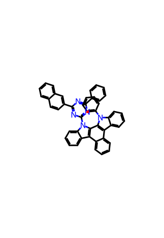 c1ccc(-c2nc(-c3ccc4ccccc4c3)nc(-n3c4ccccc4c4c5ccccc5c5c6ccccc6n(-c6ccccc6)c5c43)n2)cc1